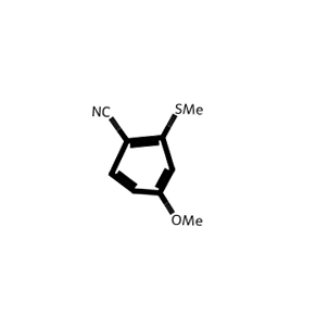 COc1ccc(C#N)c(SC)c1